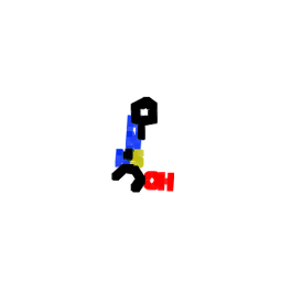 C=C(O)c1sc(NCc2ccccc2)nc1C